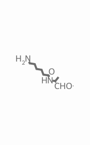 C[C@@H]([C]=O)NC(=O)CCCCCN